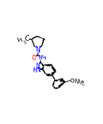 COc1cccc(-c2ccc3c(NC(=O)N4CCCC(C)C4)n[nH]c3c2)c1